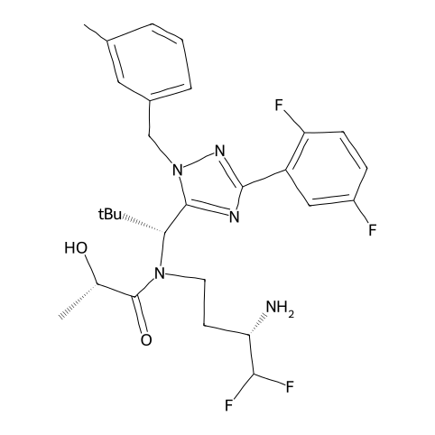 Cc1cccc(Cn2nc(-c3cc(F)ccc3F)nc2[C@H](N(CC[C@H](N)C(F)F)C(=O)[C@H](C)O)C(C)(C)C)c1